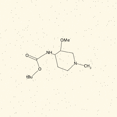 COC1CN(C)CCC1NC(=O)OC(C)(C)C